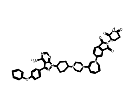 Nc1ncnc2c1c(-c1ccc(Oc3ccccc3)cc1)nn2C1CCC(N2CCN(C3=CN(c4ccc5c(c4)C(=O)N([C@@H]4CCC(=O)NC4=O)C5=O)C=CC=C3)CC2)CC1